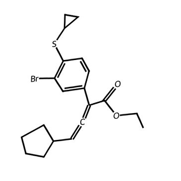 CCOC(=O)C(=C=CC1CCCC1)c1ccc(SC2CC2)c(Br)c1